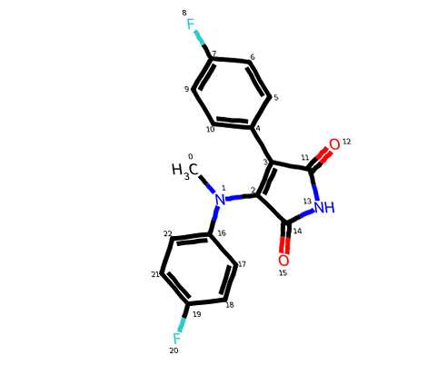 CN(C1=C(c2ccc(F)cc2)C(=O)NC1=O)c1ccc(F)cc1